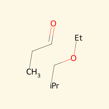 CCC=O.CCOCC(C)C